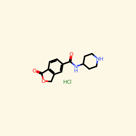 Cl.O=C(NC1CCNCC1)c1ccc2c(c1)COC2=O